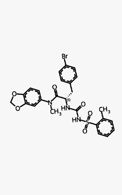 Cc1ccccc1S(=O)(=O)NC(=O)N[C@@H](Cc1ccc(Br)cc1)C(=O)N(C)c1ccc2c(c1)OCO2